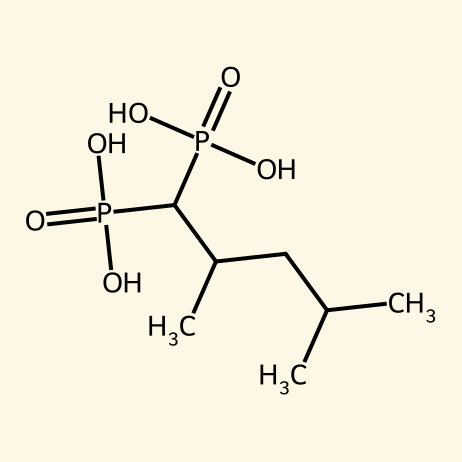 CC(C)CC(C)C(P(=O)(O)O)P(=O)(O)O